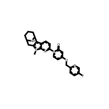 Cn1c2c(c3ccc(-n4ccc(OCc5ccc(F)cn5)cc4=O)nc31)C1CCCC(C2)N1